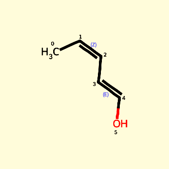 C/C=C\C=C\O